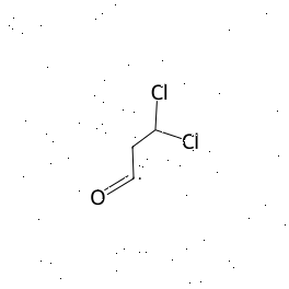 O=[C]CC(Cl)Cl